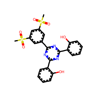 CS(=O)(=O)c1cc(-c2nc(-c3ccccc3O)nc(-c3ccccc3O)n2)cc(S(C)(=O)=O)c1